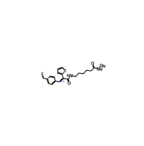 O=C(CCCCCNC(=O)/C(=C/c1ccc(C=S)cc1)c1cccs1)NO